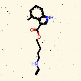 C=CNCCCCOC(=O)c1c[nH]c2cccc(C)c12